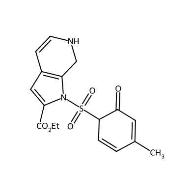 CCOC(=O)c1cc2c(n1S(=O)(=O)C1C=CC(C)=CC1=O)CNC=C2